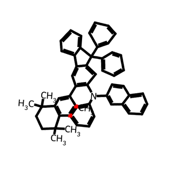 Cc1cc2c(cc1-c1cc3c(cc1N(c1ccccc1)c1ccc4ccccc4c1)C(c1ccccc1)(c1ccccc1)c1ccccc1-3)C(C)(C)CCC2(C)C